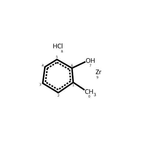 Cc1ccccc1O.Cl.[Zr]